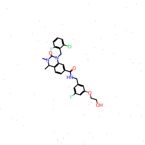 CC1c2ccc(C(=O)NCc3cc(F)cc(OCCO)c3)cc2N(Cc2c(F)cccc2Cl)C(=O)N1C